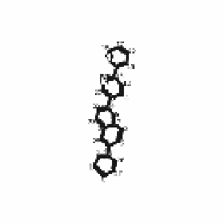 c1ccc(-c2ccc3cc(-c4ccc(-c5ccccn5)nc4)ccc3c2)cc1